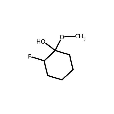 COC1(O)CCCCC1F